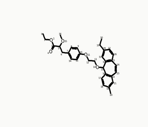 CCOC(=O)C(Cc1ccc(OCCOC2c3ccc(C)cc3C=Cc3ccc(CC)cc32)cc1)OC